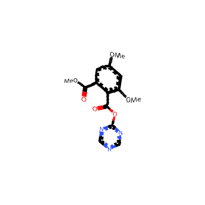 COC(=O)c1cc(OC)cc(OC)c1C(=O)Oc1ncncn1